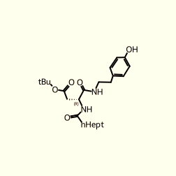 CCCCCCCC(=O)N[C@H](CC(=O)OC(C)(C)C)C(=O)NCCc1ccc(O)cc1